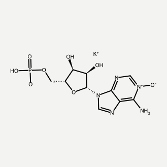 Nc1c2ncn([C@@H]3O[C@H](COP(=O)([O-])O)[C@@H](O)[C@H]3O)c2nc[n+]1[O-].[K+]